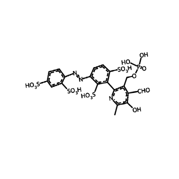 Cc1nc(-c2c(S(=O)(=O)O)ccc(N=Nc3ccc(S(=O)(=O)O)cc3S(=O)(=O)O)c2S(=O)(=O)O)c(COP(=O)(O)O)c(C=O)c1O